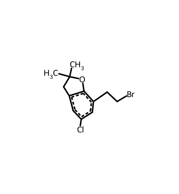 CC1(C)Cc2cc(Cl)cc(CCBr)c2O1